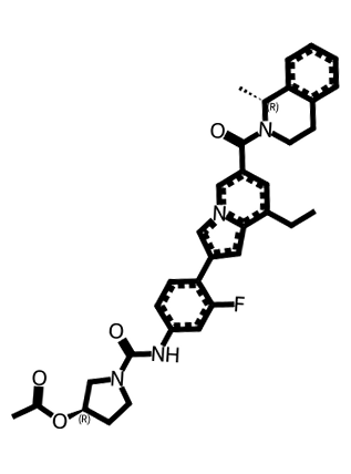 CCc1cc(C(=O)N2CCc3ccccc3[C@H]2C)cn2cc(-c3ccc(NC(=O)N4CC[C@@H](OC(C)=O)C4)cc3F)cc12